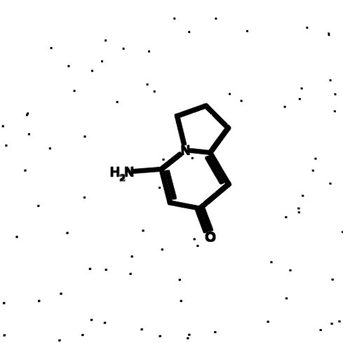 Nc1cc(=O)cc2n1CCC2